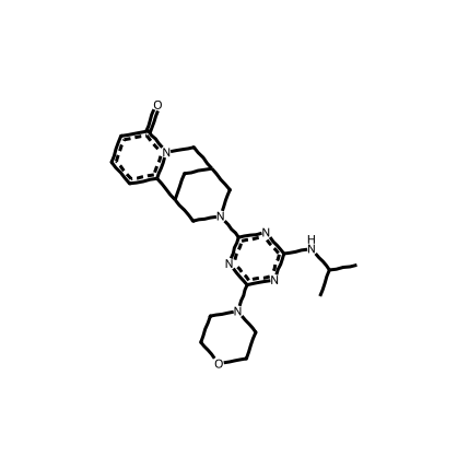 CC(C)Nc1nc(N2CCOCC2)nc(N2CC3CC(C2)c2cccc(=O)n2C3)n1